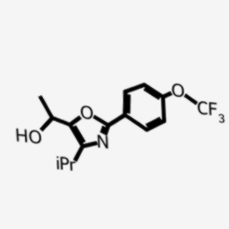 CC(C)c1nc(-c2ccc(OC(F)(F)F)cc2)oc1C(C)O